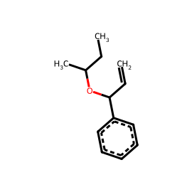 C=CC(OC(C)CC)c1ccccc1